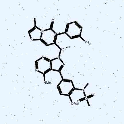 CNc1ncnc2c1c(-c1ccc(OC)c(N(C)S(C)(=O)=O)c1)nn2[C@@H](C)c1cc2scc(C)n2c(=O)c1-c1cccc(P)c1